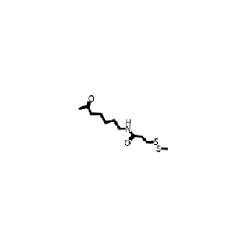 CSSCCC(=O)NCCCCCC(C)=O